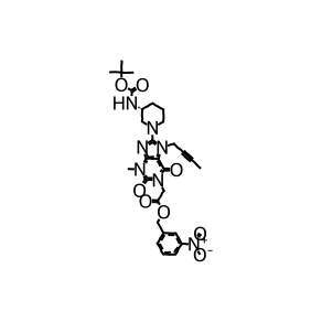 CC#CCn1c(N2CCC[C@@H](NC(=O)OC(C)(C)C)C2)nc2c1c(=O)n(CC(=O)OCc1cccc([N+](=O)[O-])c1)c(=O)n2C